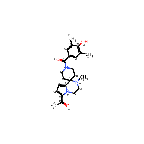 Cc1cc(C(=O)N2CCC3(CC2)c2ccc(C(=O)C(F)(F)F)n2CCN3C)cc(C)c1O